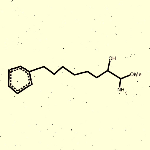 COC(N)C(O)CCCCCCc1ccccc1